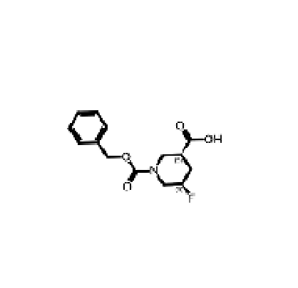 O=C(O)[C@H]1C[C@@H](F)CN(C(=O)OCc2ccccc2)C1